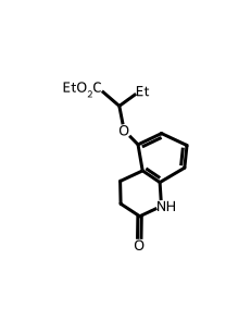 CCOC(=O)C(CC)Oc1cccc2c1CCC(=O)N2